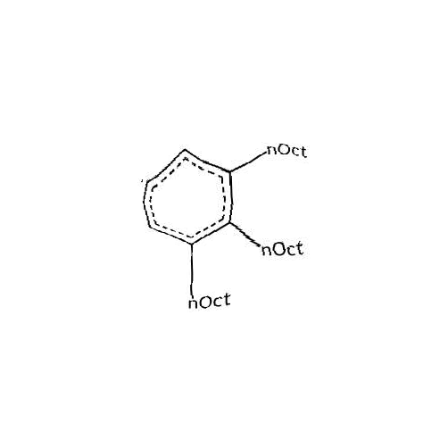 CCCCCCCCc1c[c]cc(CCCCCCCC)c1CCCCCCCC